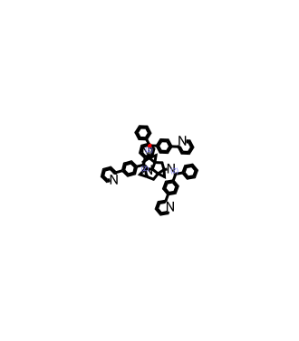 c1ccc(/C(=N/C23CC24CC2(/N=C(/c5ccccc5)c5ccc(-c6ccccn6)cc5)CC25CC2(/N=C(/c6ccccc6)c6ccc(-c7ccccn7)cc6)CC2(C3)C45)c2ccc(-c3ccccn3)cc2)cc1